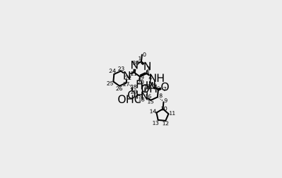 Cc1nc(NNC(=O)[C@H](CC2CCCC2)CN(O)C=O)c(F)c(N2CCCC[C@H]2CO)n1